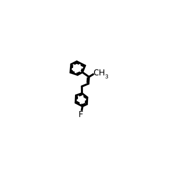 CC(=CCc1ccc(F)cc1)c1ccccc1